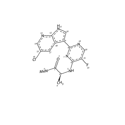 CNC(=O)[C@H](C)Nc1nc(-c2c[nH]c3ncc(Cl)cc23)ncc1F